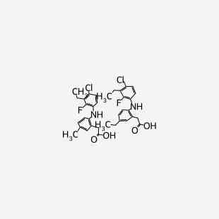 CCc1c(Cl)ccc(Nc2ccc(C)cc2CC(=O)O)c1F.CCc1ccc(Nc2ccc(Cl)c(CC)c2F)c(CC(=O)O)c1